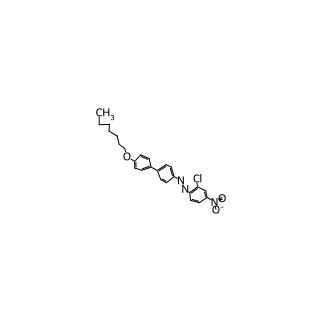 CCCCCCCOc1ccc(-c2ccc(/N=N/c3ccc([N+](=O)[O-])cc3Cl)cc2)cc1